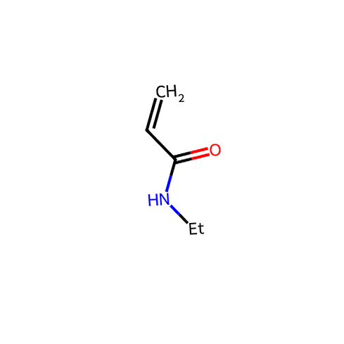 [CH2]CNC(=O)C=C